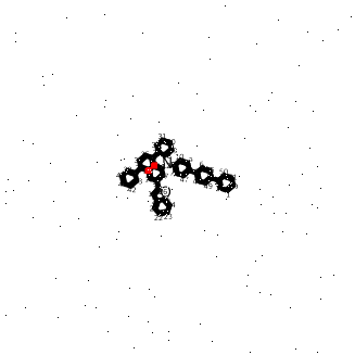 c1ccc(-c2ccc(-c3ccc(N(c4cccc(-c5cc6ccccc6o5)c4)c4ccccc4-c4ccc(-c5ccccc5)cc4)cc3)cc2)cc1